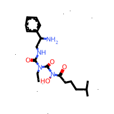 CCN(C(=O)NCC(N)c1ccccc1)C(=O)N(O)C(=O)CCCC(C)C